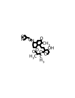 CCC(C)C(=O)OC1CCC(=NOCc2cnoc2)C2=CC(=O)C(C)C(CCC3C(=O)OCCC3O)C21